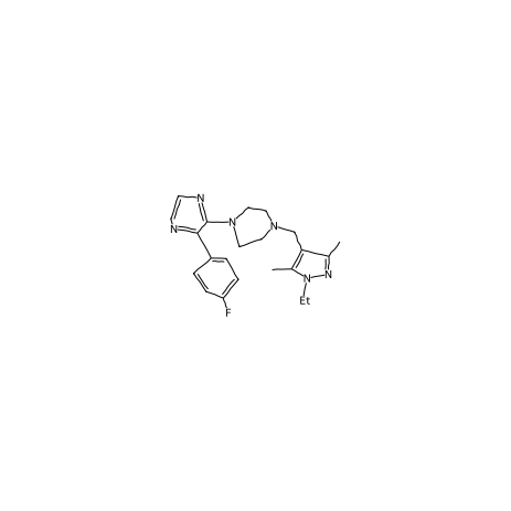 CCn1nc(C)c(CN2CCN(c3nccnc3-c3ccc(F)cc3)CC2)c1C